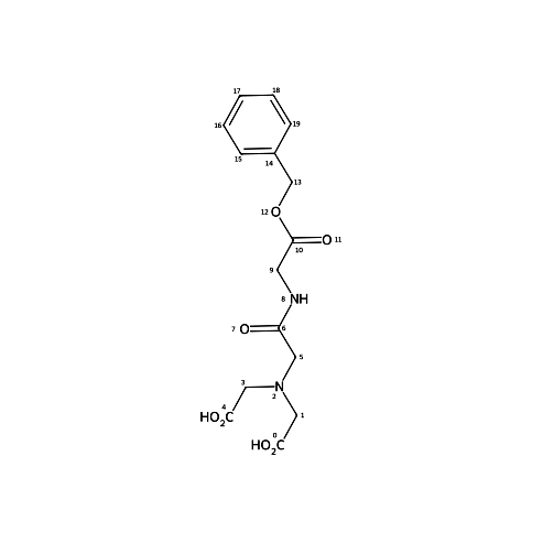 O=C(O)CN(CC(=O)O)CC(=O)NCC(=O)OCc1ccccc1